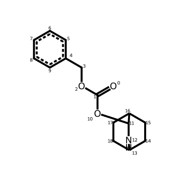 O=C(OCc1ccccc1)OC1NC2CCC1CC2